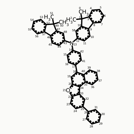 CC1(C)c2ccccc2-c2ccc(N(c3ccc(-c4cc5oc6ccc(-c7ccccc7)cc6c5c5ccccc45)cc3)c3ccc4c(c3)C(C)(C)c3ccccc3-4)cc21